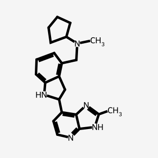 Cc1nc2c(C3Cc4c(CN(C)C5CCCC5)cccc4N3)ccnc2[nH]1